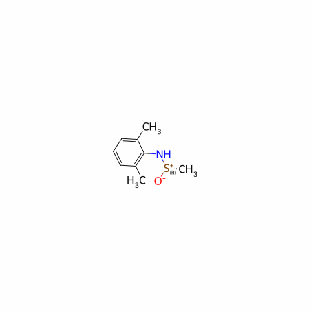 Cc1cccc(C)c1N[S@+](C)[O-]